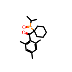 Cc1cc(C)c(C(=O)C2([P](=O)C(C)C)CCCCC2)c(C)c1